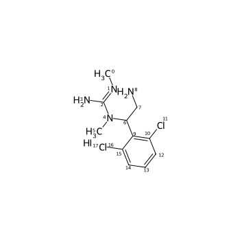 CN=C(N)N(C)C(CN)c1c(Cl)cccc1Cl.I